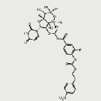 CC(OC(=O)c1ccc(OC(=O)OCCc2ccc([N+](=O)[O-])cc2)c(F)c1)O[C@H]1[C@H](n2ccc(=O)[nH]c2=O)O[C@@H]2C(O)[Si](C(C)C)(C(C)C)O[Si](C(C)C)(C(C)C)[C@@]21O